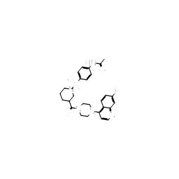 CC(=O)Nc1ccc(S(=O)(=O)N2CCCC(C(=O)N3CCN(c4ccnc5cc(F)ccc45)CC3)C2)cc1